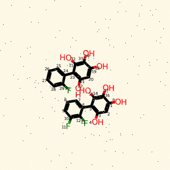 Oc1cc(O)c(-c2cccc(F)c2F)c(O)c1O.Oc1cc(O)c(-c2ccccc2F)c(O)c1O